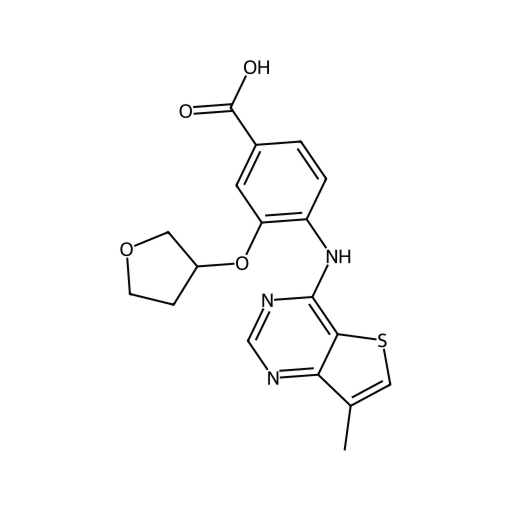 Cc1csc2c(Nc3ccc(C(=O)O)cc3OC3CCOC3)ncnc12